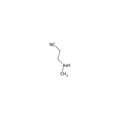 C[AsH]CCC#N